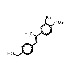 COc1ccc(C(C)=Cc2ccc(CO)cc2)cc1C(C)(C)C